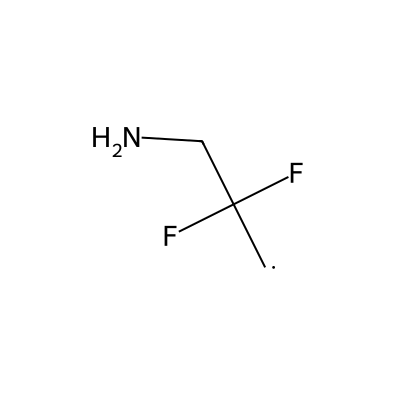 [CH2]C(F)(F)CN